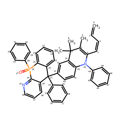 C=C/C=C\C1=C(C)C(C)(C)c2cc(C3(c4ccccc4)c4ccccc4P(=O)(c4ccccc4)c4ncccc43)ccc2N1c1ccccc1